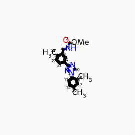 COC(=O)NCc1cc(-c2ncn(-c3ccc(C)cc3C)n2)ccc1C